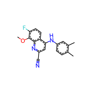 COc1c(F)ccc2c(Nc3ccc(C)c(C)c3)cc(C#N)nc12